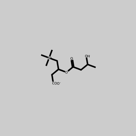 CC(O)CC(=O)OC(CC(=O)[O-])C[N+](C)(C)C